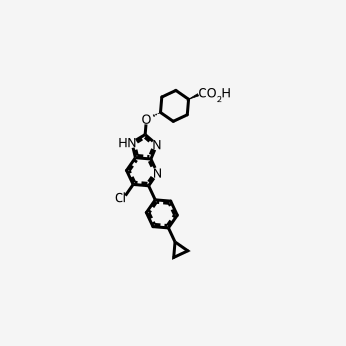 O=C(O)[C@H]1CC[C@H](Oc2nc3nc(-c4ccc(C5CC5)cc4)c(Cl)cc3[nH]2)CC1